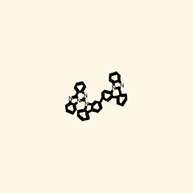 c1ccc2c(c1)nc(-n1c3ccccc3c3ccc(-c4ccc5c(c4)c4ccccc4c4nc6ccccc6n54)cc31)n1c3ccccc3nc21